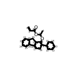 C=CC(=O)OC(C)Oc1c(-c2ccccc2)ccc2c1Cc1ccccc1-2